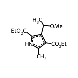 CCOC(=O)c1[nH]c(C)c(C(=O)OCC)c1C(C)OC